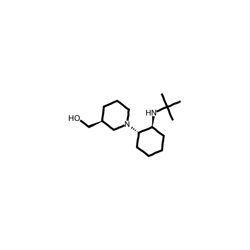 CC(C)(C)N[C@H]1CCCC[C@@H]1N1CCC[C@H](CO)C1